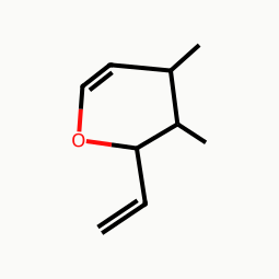 C=CC1OC=CC(C)C1C